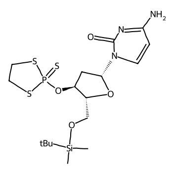 CC(C)(C)[Si](C)(C)OC[C@H]1O[C@@H](n2ccc(N)nc2=O)C[C@@H]1OP1(=S)SCCS1